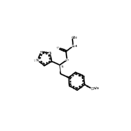 COc1ccc(C[C@H](OC(=O)NC(C)(C)C)c2c[nH]nn2)cc1